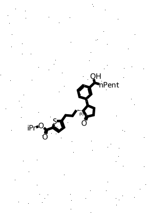 CCCCCC(O)C1=CC(C2CCC(=O)[C@@H]2CCCc2ccc(C(=O)OC(C)C)s2)CC=C1